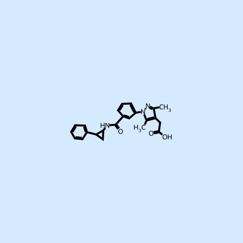 Cc1nn(-c2cccc(C(=O)NC3CC3c3ccccc3)c2)c(C)c1CC(=O)O